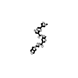 Cc1ncc(C(=O)NCCN2CC3COCC3C2)cc1NC(=O)c1cnn2cc(-c3cnn(C)c3)sc12